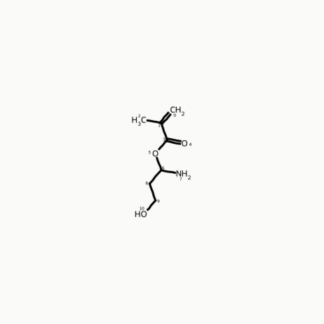 C=C(C)C(=O)OC(N)CCO